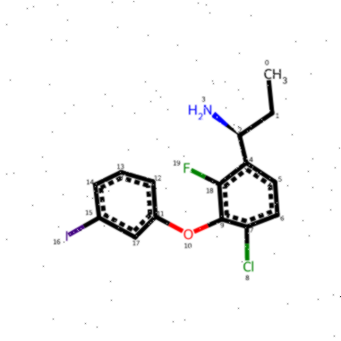 CC[C@H](N)c1ccc(Cl)c(Oc2cccc(I)c2)c1F